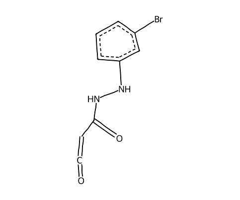 O=C=CC(=O)NNc1cccc(Br)c1